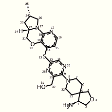 N[C@@H]1COCC12CCN(c1ncc(Sc3ccnc4c3OC[C@@H]3C[C@H](F)CN43)nc1CO)CC2